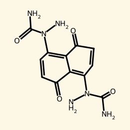 NC(=O)N(N)C1=C2C(=O)C=CC(N(N)C(N)=O)=C2C(=O)C=C1